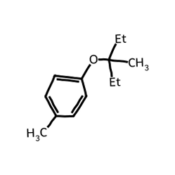 CCC(C)(CC)Oc1ccc(C)cc1